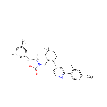 Cc1cc([C@H]2OC(=O)N(CC3=C(c4ccnc(-c5ccc(C(=O)O)cc5C)c4)CCC(C)(C)C3)[C@H]2C)cc(C(F)(F)F)c1